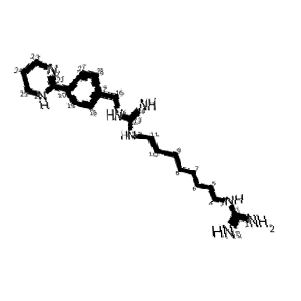 N=C(N)NCCCCCCCCNC(=N)NCc1ccc(C2=NCCCN2)cc1